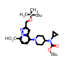 CC(C)(C)OC(=O)N(C1CC1)C1CCN(c2ccc(C(=O)O)n3nc(CO[Si](C)(C)C(C)(C)C)cc23)CC1